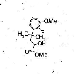 COC(=O)C(O)CC(C)(C)c1cccc(OC)c1F